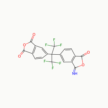 N=C1OC(=O)c2ccc(C(c3ccc4c(c3)C(=O)OC4=O)(C(F)(F)F)C(F)(F)F)cc21